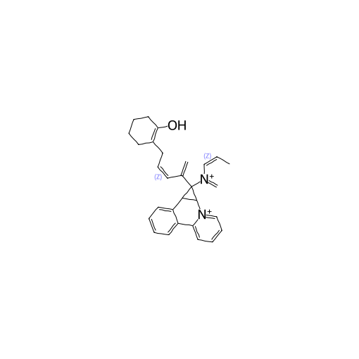 C=C(/C=C\CC1=C(O)CCCC1)C1([N+](=C)/C=C\C)C2c3ccccc3-c3cccc[n+]3C21